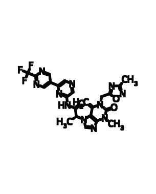 C=C1c2c(ncn2[C@@H](C)C(=O)Nc2cncc(-c3cnc(C(F)(F)F)nc3)n2)N(C)C(=O)N1Cc1nc(C)no1